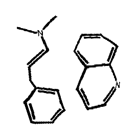 CN(C)C=Cc1ccccc1.c1ccc2ncccc2c1